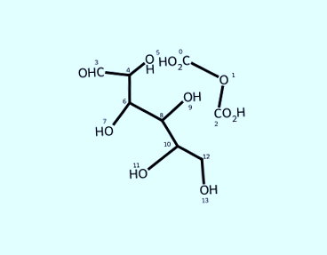 O=C(O)OC(=O)O.O=CC(O)C(O)C(O)C(O)CO